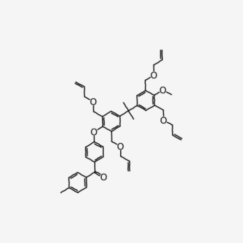 C=CCOCc1cc(C(C)(C)c2cc(COCC=C)c(Oc3ccc(C(=O)c4ccc(C)cc4)cc3)c(COCC=C)c2)cc(COCC=C)c1OC